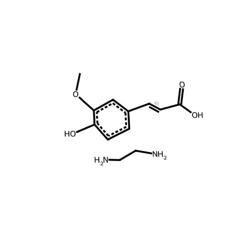 COc1cc(/C=C/C(=O)O)ccc1O.NCCN